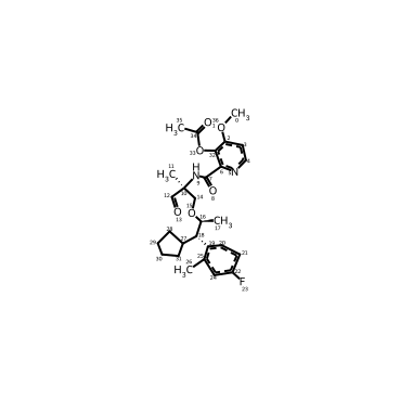 COc1ccnc(C(=O)N[C@](C)(C=O)CO[C@@H](C)[C@H](c2ccc(F)cc2C)C2CCCC2)c1OC(C)=O